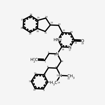 C=CCN(CC(Cc1ccccc1)N(C)C)c1nc(=O)cc(CC2Cc3ccccc3C2)[nH]1